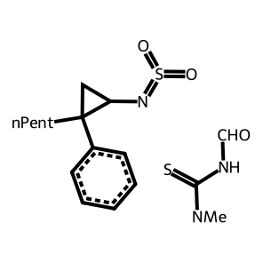 CCCCCC1(c2ccccc2)CC1N=S(=O)=O.CNC(=S)NC=O